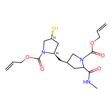 C=CCOC(=O)N1CC(C[C@@H]2C[C@H](S)CN2C(=O)OCC=C)CC1C(=O)NC